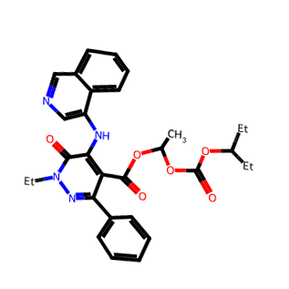 CCC(CC)OC(=O)OC(C)OC(=O)c1c(-c2ccccc2)nn(CC)c(=O)c1Nc1cncc2ccccc12